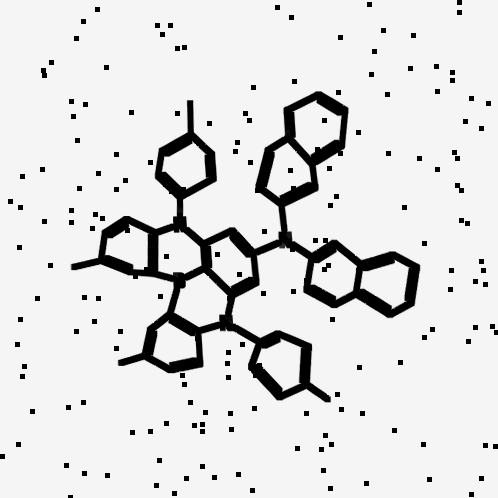 Cc1ccc(N2c3ccc(C)cc3B3c4cc(C)ccc4N(c4ccc(C)cc4)c4cc(N(c5ccc6ccccc6c5)c5ccc6ccccc6c5)cc2c43)cc1